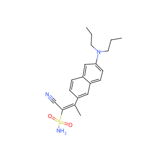 CCCN(CCC)c1ccc2cc(/C(C)=C(\C#N)S(N)(=O)=O)ccc2c1